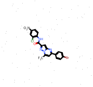 O=C(Nc1ccc([N+](=O)[O-])cc1Cl)c1cc2nc(-c3ccc(Br)cc3)cc(C(F)(F)F)n2n1